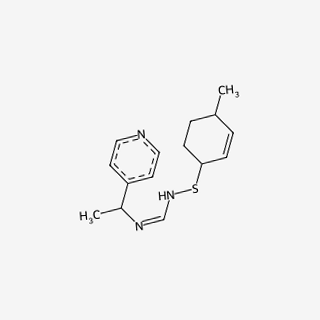 CC1C=CC(SN/C=N\C(C)c2ccncc2)CC1